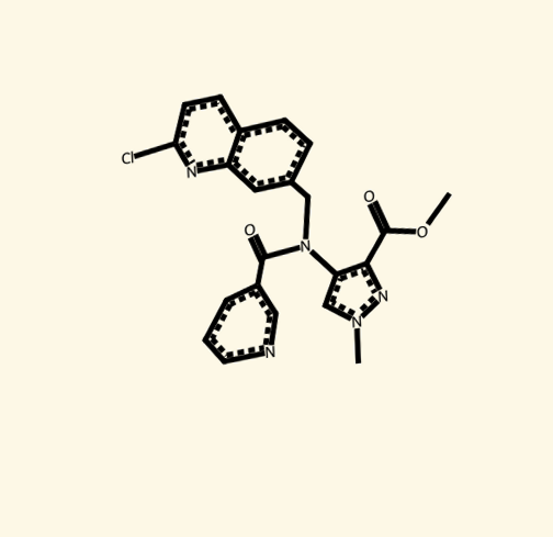 COC(=O)c1nn(C)cc1N(Cc1ccc2ccc(Cl)nc2c1)C(=O)c1cccnc1